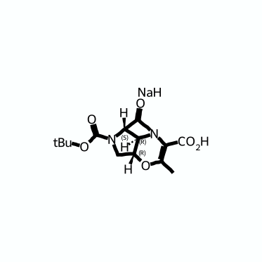 CC1=C(C(=O)O)N2C(=O)[C@@H]3[C@@H]2[C@@H](CN3C(=O)OC(C)(C)C)O1.[NaH]